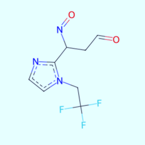 O=CCC(N=O)c1nccn1CC(F)(F)F